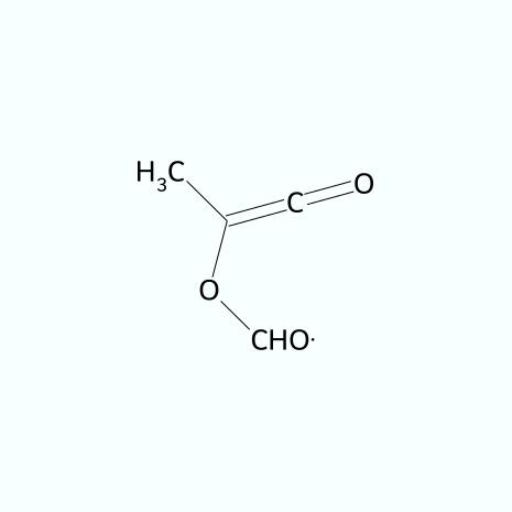 CC(=C=O)O[C]=O